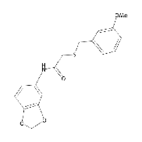 COc1cccc(CSCC(=O)Nc2ccc3c(c2)OCO3)c1